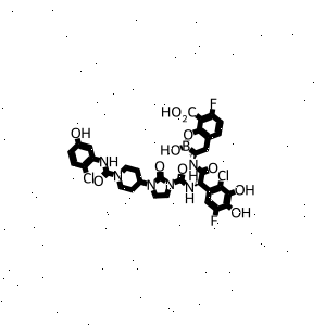 O=C(O)c1c(F)ccc2c1OB(O)[C@@H](NC(=O)[C@@H](NC(=O)N1CCN(C3CCN(C(=O)Nc4cc(O)ccc4Cl)CC3)C1=O)c1cc(F)c(O)c(O)c1Cl)C2